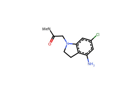 CNC(=O)CN1CCc2c(N)cc(Cl)cc21